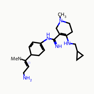 CN/C(=C\CN)C1C=CC(NC(=N)C2=C(NCC3CC3)CCN(C)C2)=CC1